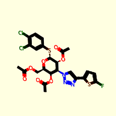 CC(=O)OC[C@H]1O[C@H](Sc2ccc(Cl)c(Cl)c2)[C@H](OC(C)=O)[C@@H](n2cc(-c3ccc(F)s3)nn2)[C@H]1OC(C)=O